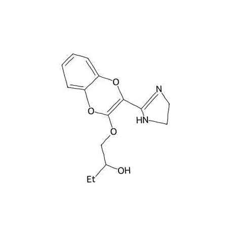 CCC(O)COC1=C(C2=NCCN2)Oc2ccccc2O1